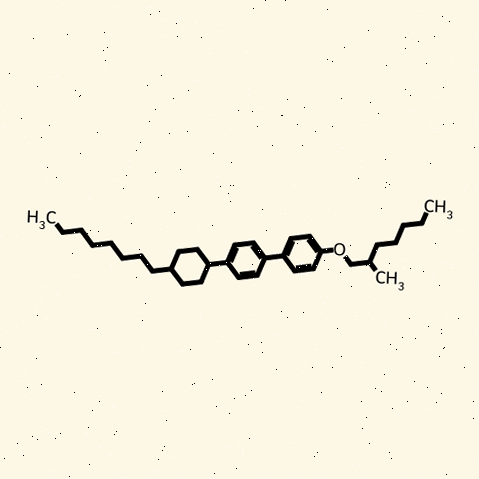 CCCCCCCCC1CCC(c2ccc(-c3ccc(OCC(C)CCCCC)cc3)cc2)CC1